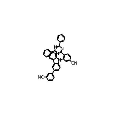 N#Cc1cccc(-c2ccc3c(c2)c2ccccc2n3-c2cc(C#N)ccc2-c2nc(-c3ccccc3)nc(-c3ccccc3)n2)c1